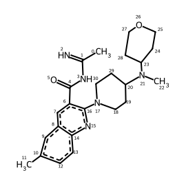 CC(=N)NC(=O)c1cc2cc(C)ccc2nc1N1CCC(N(C)C2CCOCC2)CC1